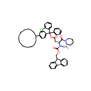 CN(C(=O)OCC1c2ccccc2-c2ccccc21)[C@@H](CC(=O)OC(c1ccccc1)(c1ccc(C2CCCCCCCCCCCCCC2)cc1)c1ccccc1Cl)C(=O)N1CCCCC1